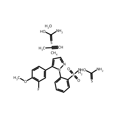 C.C#CC.COc1ccc(-c2ccnn2-c2ccccc2S(N)(=O)=O)cc1F.NC(O)=S.NC(O)=S.O